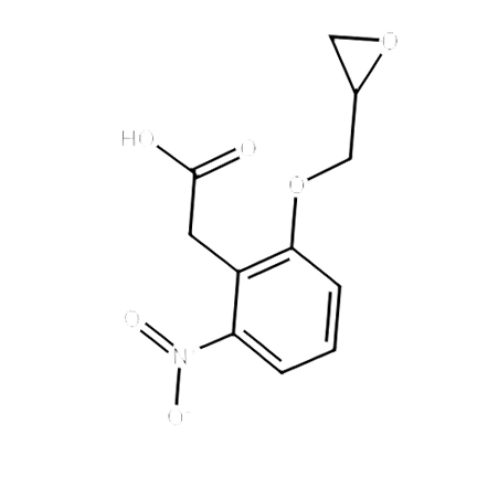 O=C(O)Cc1c(OCC2CO2)cccc1[N+](=O)[O-]